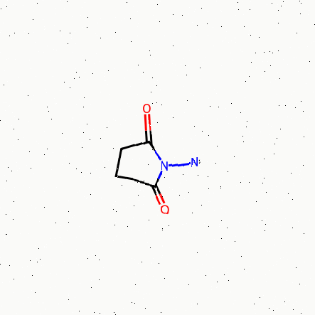 [N]N1C(=O)CCC1=O